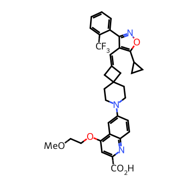 COCCOc1cc(C(=O)O)nc2ccc(N3CCC4(CC3)CC(=Cc3c(-c5ccccc5C(F)(F)F)noc3C3CC3)C4)cc12